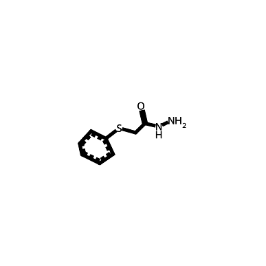 NNC(=O)CSc1ccccc1